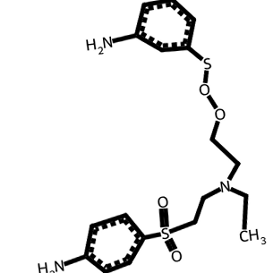 CCN(CCOOSc1cccc(N)c1)CCS(=O)(=O)c1ccc(N)cc1